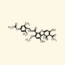 COc1cc(O)c2c(c1C(=O)NCc1c(C)cc(OC(C)=O)cc1C)OC1=CC(O)=C(C(C)=O)C(=O)[C@]12C